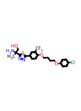 CC(N)(CO)c1nnc(-c2ccc(OCCCCOc3ccc(Cl)cc3)c(C(F)(F)F)c2)s1